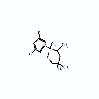 CCc1cc(F)cc(C2(O)OCC(C)(C)NC2C)c1